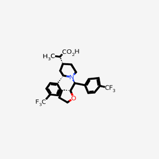 CC(C(=O)O)[C@@H]1CCN([C@@H](c2ccc(C(F)(F)F)cc2)[C@H]2CCCO2)[C@H](c2ccc(C(F)(F)F)cc2)C1